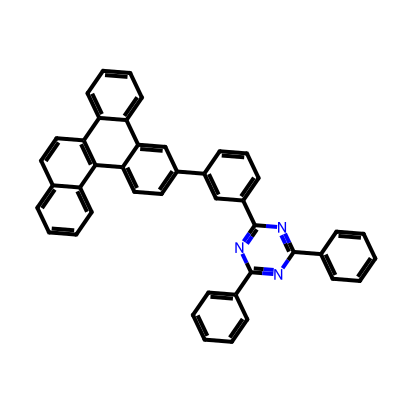 c1ccc(-c2nc(-c3ccccc3)nc(-c3cccc(-c4ccc5c(c4)c4ccccc4c4ccc6ccccc6c45)c3)n2)cc1